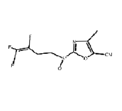 Cc1nc([S+]([O-])CCC(F)=C(F)F)oc1C#N